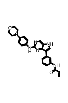 C=CC(=O)Nc1cccc(-c2c[nH]c3cnc(Nc4ccc(N5CCOCC5)cc4)nc23)c1